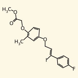 COC(=O)COc1ccc(OCC=C(I)c2ccc(F)cc2)cc1C